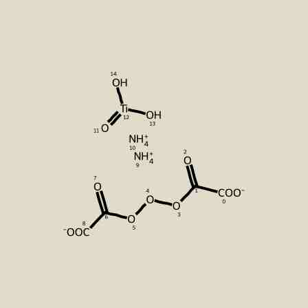 O=C([O-])C(=O)OOOC(=O)C(=O)[O-].[NH4+].[NH4+].[O]=[Ti]([OH])[OH]